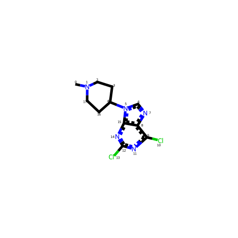 CN1CCC(n2cnc3c(Cl)nc(Cl)nc32)CC1